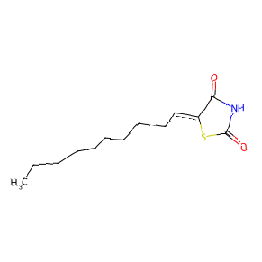 CCCCCCCCCC=C1SC(=O)NC1=O